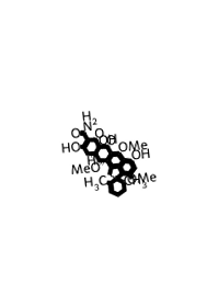 COc1cc(O)c2c(OC)c3c(c4c2c1[C@]1(C4)C(C)=CCCC1C)[C@@H](OC)[C@H]1CC(O)=C(C(N)=O)C(=O)[C@@]1(O)C3=O